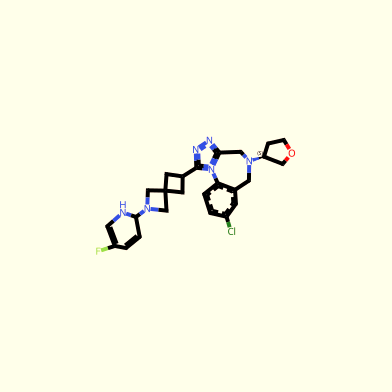 FC1=CNC(N2CC3(CC(c4nnc5n4-c4ccc(Cl)cc4CN([C@H]4CCOC4)C5)C3)C2)C=C1